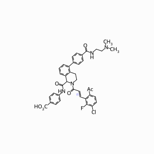 CC(=O)c1ccc(Cl)c(F)c1/C=C/C(=O)N1CCc2c(-c3ccc(C(=O)NCCN(C)C)cc3)cccc2C1C(=O)Nc1ccc(C(=O)O)cc1